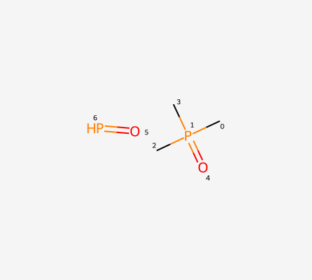 CP(C)(C)=O.O=P